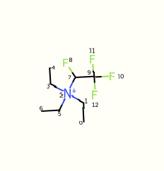 CC[N+](CC)(CC)C(F)C(F)(F)F